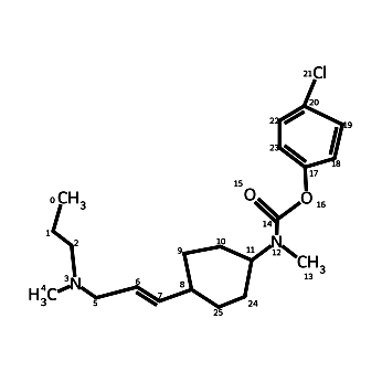 CCCN(C)CC=CC1CCC(N(C)C(=O)Oc2ccc(Cl)cc2)CC1